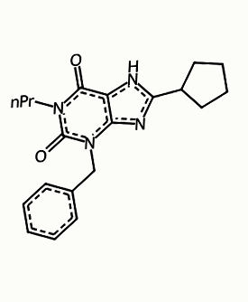 CCCn1c(=O)c2[nH]c(C3CCCC3)nc2n(Cc2ccccc2)c1=O